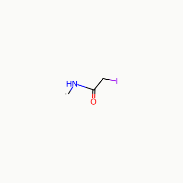 [CH2]NC(=O)CI